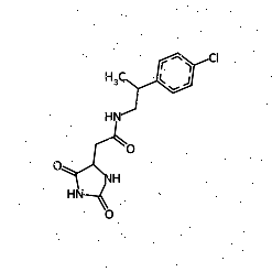 CC(CNC(=O)CC1NC(=O)NC1=O)c1ccc(Cl)cc1